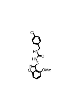 COc1cccc2onc(SNC(=O)NCc3ccc(Cl)cc3)c12